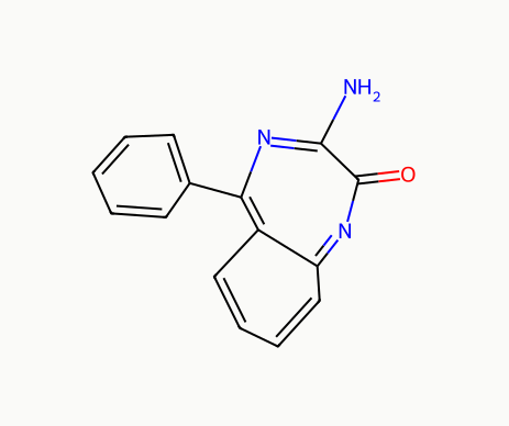 Nc1nc(-c2ccccc2)c2ccccc2nc1=O